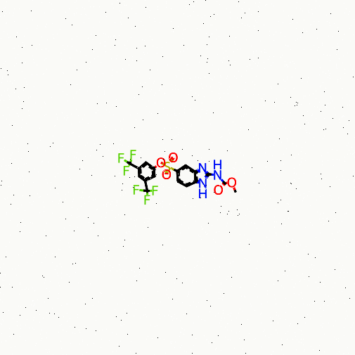 COC(=O)Nc1nc2cc(S(=O)(=O)Oc3cc(C(F)(F)F)cc(C(F)(F)F)c3)ccc2[nH]1